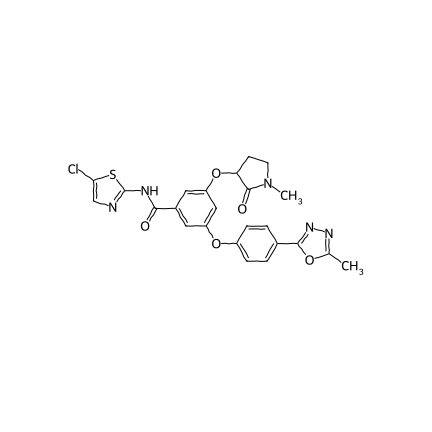 Cc1nnc(-c2ccc(Oc3cc(OC4CCN(C)C4=O)cc(C(=O)Nc4ncc(Cl)s4)c3)cc2)o1